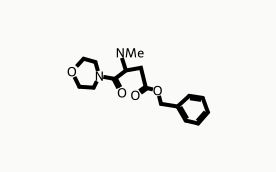 CNC(CC(=O)OCc1ccccc1)C(=O)N1CCOCC1